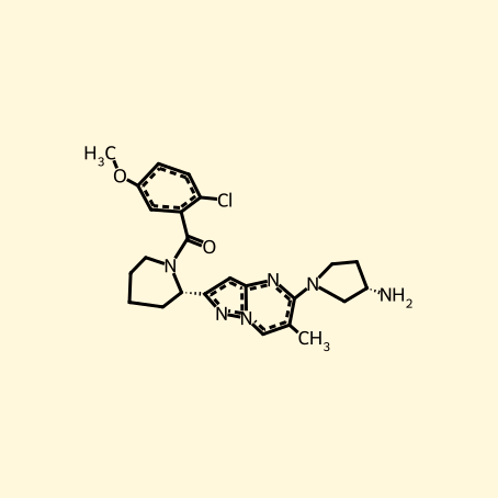 COc1ccc(Cl)c(C(=O)N2CCCC[C@H]2c2cc3nc(N4CC[C@H](N)C4)c(C)cn3n2)c1